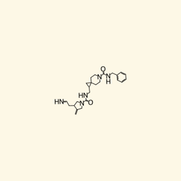 C=C1CN(C(=O)NCC2CC23CCN(C(=O)NCc2ccccc2)CC3)CC1CC=N